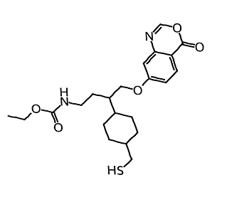 CCOC(=O)NCCC(COc1ccc2c(=O)ocnc2c1)C1CCC(CS)CC1